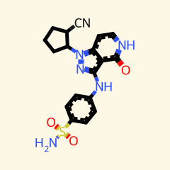 N#CC1CCCC1n1nc(Nc2ccc(S(N)(=O)=O)cc2)c2c(=O)[nH]ccc21